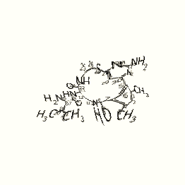 Cc1cc(C)c2cc1C(=O)NCCC(NC(=O)[C@H](N)C(C)C)C(=O)NCCSc1cc-2nc(N)n1